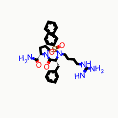 N=C(N)NCCCCN([C@H](Cc1ccccc1)C(=O)N1CCC[C@H]1C(N)=O)S(=O)(=O)c1ccc2ccccc2c1